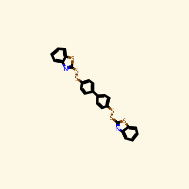 c1ccc2sc(SSc3ccc(-c4ccc(SSc5nc6ccccc6s5)cc4)cc3)nc2c1